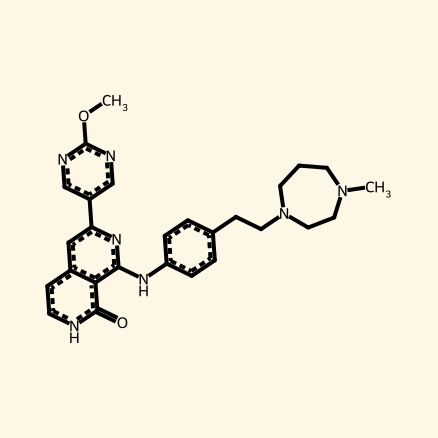 COc1ncc(-c2cc3cc[nH]c(=O)c3c(Nc3ccc(CCN4CCCN(C)CC4)cc3)n2)cn1